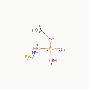 N.O=P(O)(O)OS(=O)(=O)O.P